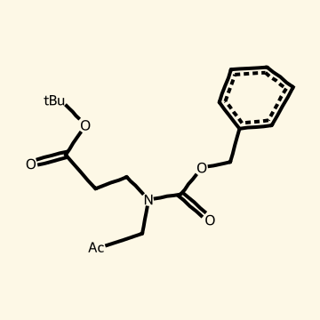 CC(=O)CN(CCC(=O)OC(C)(C)C)C(=O)OCc1ccccc1